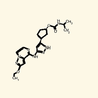 CCOc1cc2c(Nc3cc([C@H]4CC[C@@H](OC(=O)NC(C)C)C4)[nH]n3)nccn2n1